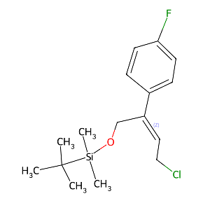 CC(C)(C)[Si](C)(C)OC/C(=C\CCl)c1ccc(F)cc1